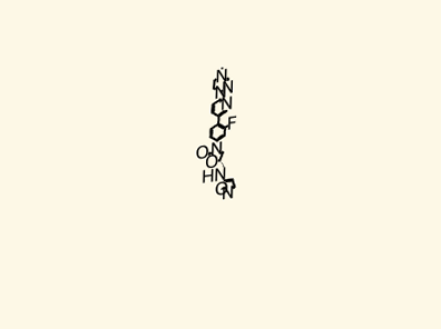 CN1C=NN(c2ccc(-c3ccc(N4C[C@H](CNc5ccno5)OC4=O)cc3F)cn2)CC1